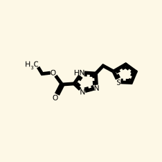 CCOC(=O)c1nnc(Cc2cccs2)[nH]1